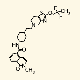 Cn1ccc2c(C(=O)N[C@H]3CC[C@H](CCN4CCc5sc(OCC(C)(F)F)nc5C4)CC3)cccc2c1=O